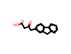 O=C(O)CC(=O)Cc1ccc2c(c1)Cc1ccccc1-2